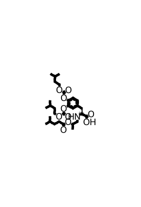 CC(C)CCOC(=O)Oc1ccc(C[C@H](NCC(C)OC(=O)CCC(C)C)C(=O)O)cc1OC(=O)OCCC(C)C